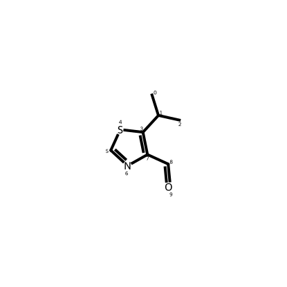 CC(C)c1scnc1C=O